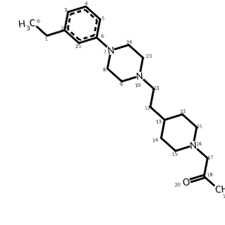 CCc1cccc(N2CCN(CCC3CCN(CC(C)=O)CC3)CC2)c1